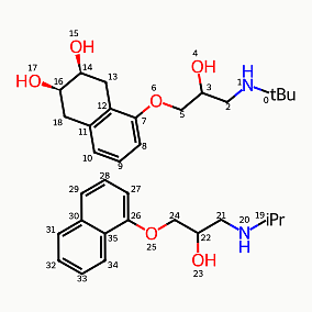 CC(C)(C)NCC(O)COc1cccc2c1C[C@H](O)[C@H](O)C2.CC(C)NCC(O)COc1cccc2ccccc12